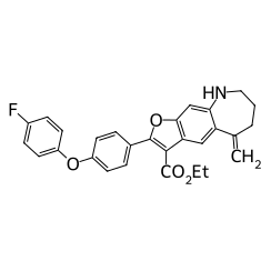 C=C1CCCNc2cc3oc(-c4ccc(Oc5ccc(F)cc5)cc4)c(C(=O)OCC)c3cc21